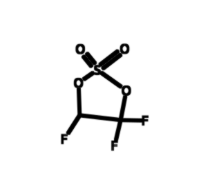 O=S1(=O)OC(F)C(F)(F)O1